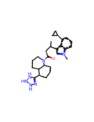 CC(CC(=O)N1CCCC2C(C3=NNNN3)CCCC21)c1cn(C)c2cccc(C3CC3)c12